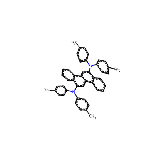 Cc1ccc(N(c2ccc(C(C)C)cc2)c2cc3c4ccccc4c(N(c4ccc(C)cc4)c4ccc(C(C)C)cc4)cc3c3ccccc23)cc1